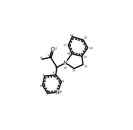 CC(=O)C(c1cccnc1)N1CCc2ccccc21